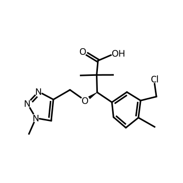 Cc1ccc([C@@H](OCc2cn(C)nn2)C(C)(C)C(=O)O)cc1CCl